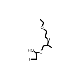 CCOC[CH]OC(C)COC(O)CF